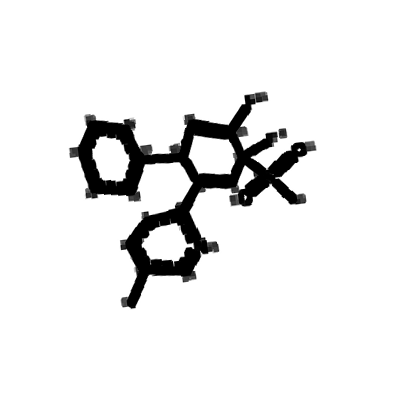 Cc1ccc(C2=CC(F)(S(C)(=O)=O)C(F)=CC2c2ccccc2)nc1